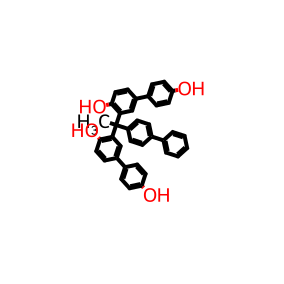 CC(c1ccc(-c2ccccc2)cc1)(c1cc(-c2ccc(O)cc2)ccc1O)c1cc(-c2ccc(O)cc2)ccc1O